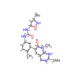 CSc1ncc2cc(-c3cc(NC(=O)Nc4cc(C(C)(C)C)no4)ccc3C)c(=O)n(C)c2n1